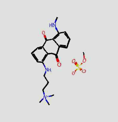 CNc1cccc2c1C(=O)c1cccc(NCCC[N+](C)(C)C)c1C2=O.COS(=O)(=O)[O-]